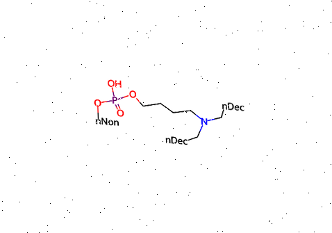 CCCCCCCCCCCN(CCCCCCCCCCC)CCCCOP(=O)(O)OCCCCCCCCC